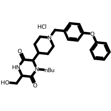 CCCCN1C(=O)C(CO)NC(=O)C1C1CCN(Cc2ccc(Oc3ccccc3)cc2)CC1.Cl